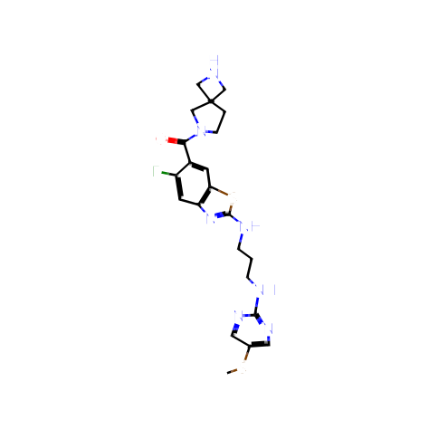 CSc1cnc(NCCCNc2nc3cc(F)c(C(=O)N4CCC5(CNC5)C4)cc3s2)nc1